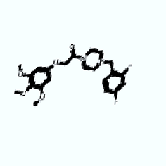 COc1cc(OCC(=O)N2CCN(Cc3ccc(F)cc3F)CC2)cc(OC)c1OC